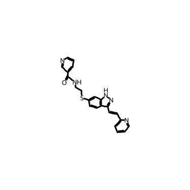 O=C(NCCSc1ccc2c(C=Cc3ccccn3)n[nH]c2c1)c1cccnc1